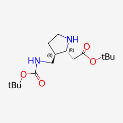 CC(C)(C)OC(=O)C[C@H]1NCC[C@@H]1CNC(=O)OC(C)(C)C